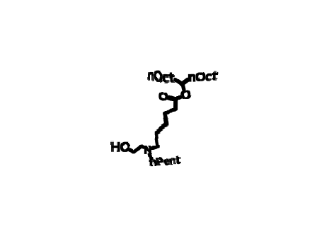 CCCCCCCCC(CCCCCCCC)OC(=O)CCCCCN(CCO)CCCCC